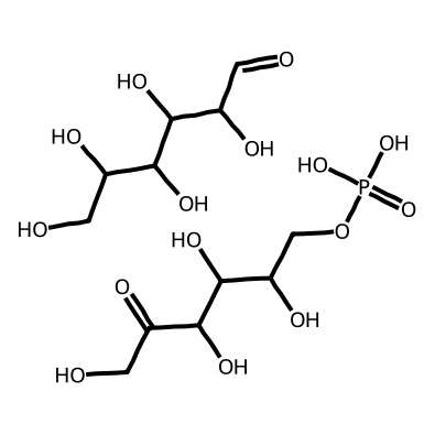 O=C(CO)C(O)C(O)C(O)COP(=O)(O)O.O=CC(O)C(O)C(O)C(O)CO